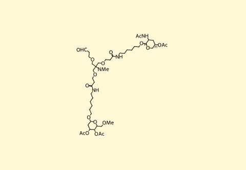 CNC(COCCC=O)(COCCC(=O)NCCCCCCOC1CC(OC(C)=O)C(OC(C)=O)C(COC)O1)COCCC(=O)NCCCCCCO[C@@H]1OC[C@H](OC(C)=O)CC1NC(C)=O